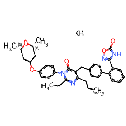 CCCc1nc(CC)n(-c2ccc(OC3C[C@@H](C)O[C@@H](C)C3)cc2)c(=O)c1Cc1ccc(-c2ccccc2-c2noc(=O)[nH]2)cc1.[KH]